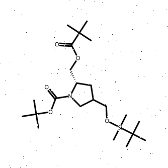 CC(C)(C)OC(=O)N1CC(CO[Si](C)(C)C(C)(C)C)C[C@H]1COC(=O)C(C)(C)C